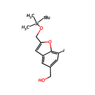 CC(C)(C)[Si](C)(C)OCc1cc2cc(CO)cc(I)c2o1